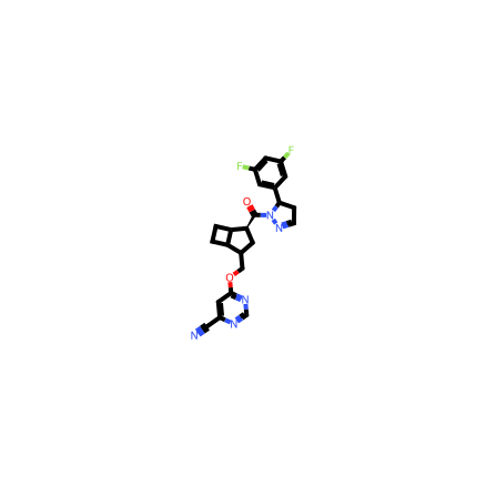 N#Cc1cc(OCC2C[C@H](C(=O)N3N=CCC3c3cc(F)cc(F)c3)C3CCC23)ncn1